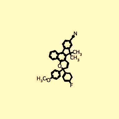 COc1ccc(C2(C3=CC=C(F)CC3)C=Cc3c4c(c5ccccc5c3O2)-c2ccc(C#N)cc2C4(C)C)cc1